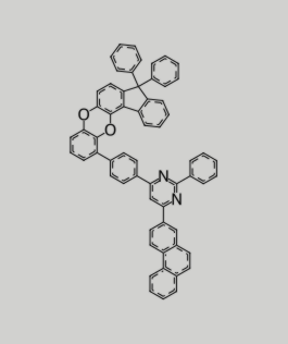 c1ccc(-c2nc(-c3ccc(-c4cccc5c4Oc4c(ccc6c4-c4ccccc4C6(c4ccccc4)c4ccccc4)O5)cc3)cc(-c3ccc4c(ccc5ccccc54)c3)n2)cc1